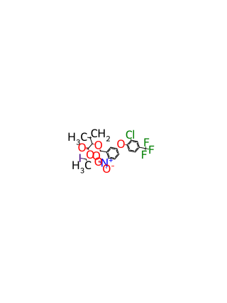 C=C(C)C(OC(=O)c1cc(Oc2ccc(C(F)(F)F)cc2Cl)ccc1[N+](=O)[O-])C(=O)OC(C)I